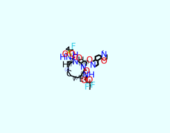 CC[C@@H]1C[C@@H](C)CC/C=C\[C@@H]2C[C@@]2(C(=O)NS(=O)(=O)C2(CF)CC2)NC(=O)[C@@H]2C[C@@H](Oc3nccc4c5c(ccc34)N(C)CCO5)CN2C(=O)[C@H]1NC(=O)OC(C)(C)C(C)(F)F